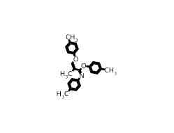 CC(=COc1ccc(C)cc1)C(=Nc1ccc(C)cc1)Oc1ccc(C)cc1